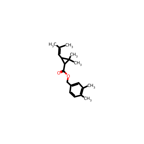 CC(C)=CC1C(C(=O)OCc2ccc(C)c(C)c2)C1(C)C